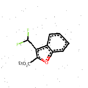 CCOC(=O)c1oc2ccccc2c1C(F)F